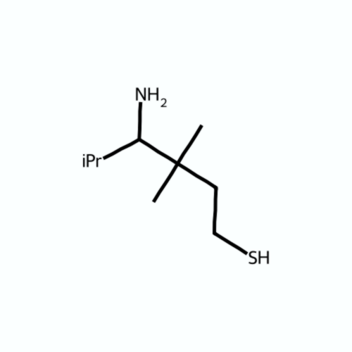 CC(C)C(N)C(C)(C)CCS